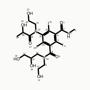 CNC(=O)c1c(I)c(C(=O)N(CCO)CC(O)CO)c(I)c(N(CCO)C(=O)C(C)O)c1I